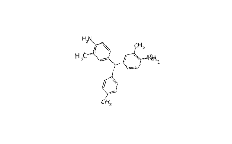 Cc1ccc(C(c2ccc(N)c(C)c2)c2ccc(N)c(C)c2)cc1